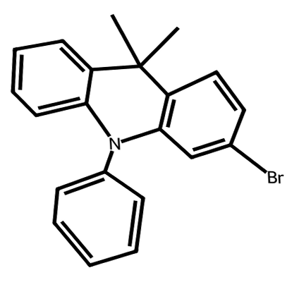 CC1(C)c2ccccc2N(c2ccccc2)c2cc(Br)ccc21